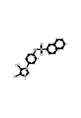 O=S(=O)(Nc1ccc(-n2cnc(Cl)c2Cl)cc1)c1ccc2ccccc2c1